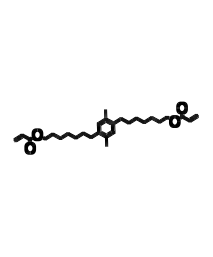 C=CC(=O)OCCCCCCCc1cc(C)c(CCCCCCCOC(=O)C=C)cc1C